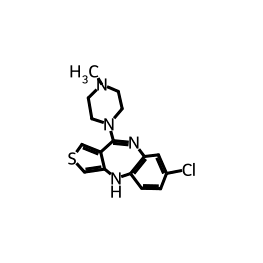 CN1CCN(C2=Nc3cc(Cl)ccc3Nc3cscc32)CC1